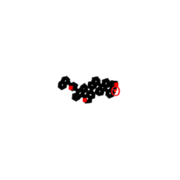 c1ccc2c(-c3ccc(-c4c5ccccc5c(-c5cccc6ccc(-c7ccc8cccc(-c9c%10ccccc%10c(-c%10cccc%11oc%12ccccc%12c%10%11)c%10ccccc9%10)c8c7)cc56)c5ccccc45)cc3)cccc2c1